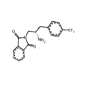 N[C@@H](Cc1ccc(C(F)(F)F)cc1)CN1C(=O)c2ccccc2C1=O